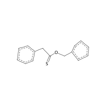 S=C(Cc1ccccc1)OCc1ccccc1